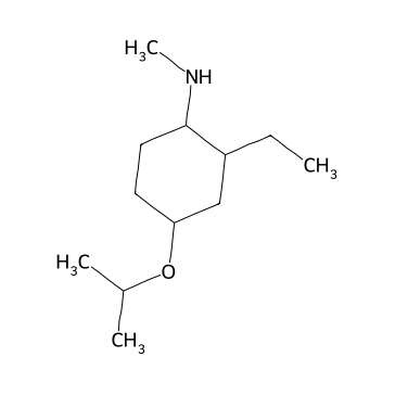 CCC1CC(OC(C)C)CCC1NC